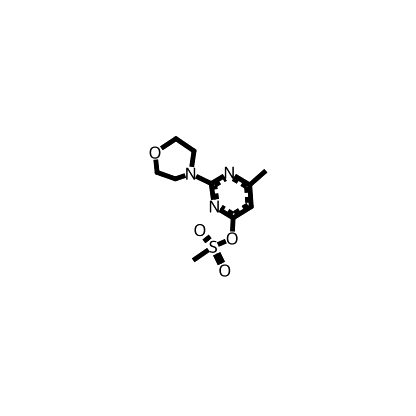 Cc1cc(OS(C)(=O)=O)nc(N2CCOCC2)n1